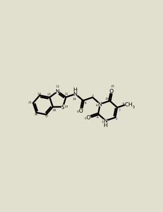 Cc1c[nH]c(=O)n(CC(=O)Nc2nc3ccccc3s2)c1=O